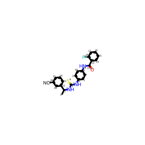 CC(NC(=S)Nc1ccc(NC(=O)c2ccccc2F)cc1)c1cccc(C#N)c1